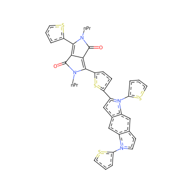 CCCN1C(=O)C2=C(c3ccc(-c4cc5cc6c(ccn6-c6cccs6)cc5n4-c4cccs4)s3)N(CCC)C(=O)C2=C1c1cccs1